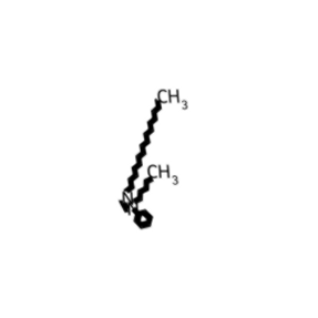 CCCCCCCCCCCCCCCCCCN1C=CN(c2ccccc2)C1CCCCCC